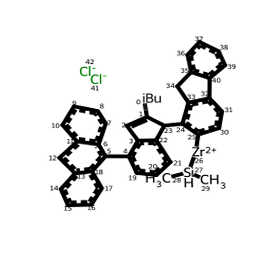 CCC(C)C1=Cc2c(-c3c4ccccc4cc4ccccc34)cccc2C1c1[c]([Zr+2][SiH](C)C)ccc2c1Cc1ccccc1-2.[Cl-].[Cl-]